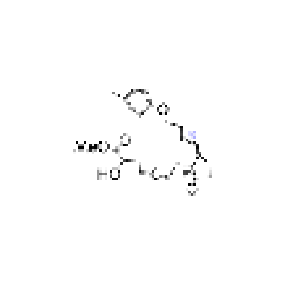 COC(=O)C(O)CC=C=CC[C@H]1C(=O)CC[C@@H]1/C=C/CCOc1ccc(C)cc1